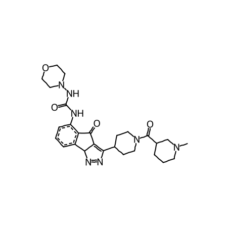 CN1CCCC(C(=O)N2CCC(C3=C4C(=O)c5c(NC(=O)NN6CCOCC6)cccc5C4N=N3)CC2)C1